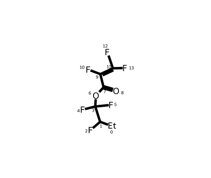 CCC(F)C(F)(F)OC(=O)C(F)=C(F)F